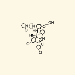 O=C(Nc1cc(OCCO)ccc1N1CCC(N2CCCCC2=O)CC1)c1[nH]c2cc(Cl)cc3c2c1-c1c(-c2ccccc2)ncn1[C@@H]3c1ccc(Cl)cc1Cl